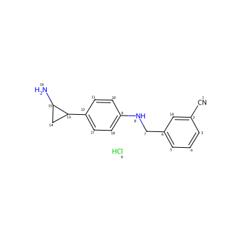 Cl.N#Cc1cccc(CNc2ccc(C3CC3N)cc2)c1